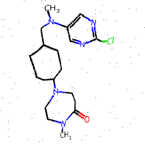 CN1CCN(C2CCC(CN(C)c3cnc(Cl)nc3)CC2)CC1=O